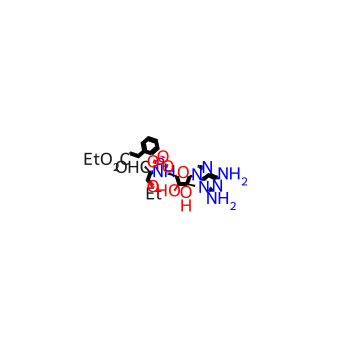 CCOC[C@@H](C=O)NP(=O)(OC[C@H]1O[C@@H](n2cnc3c(N)nc(N)nc32)[C@](C)(O)[C@H]1O)Oc1ccccc1CCC(=O)OCC